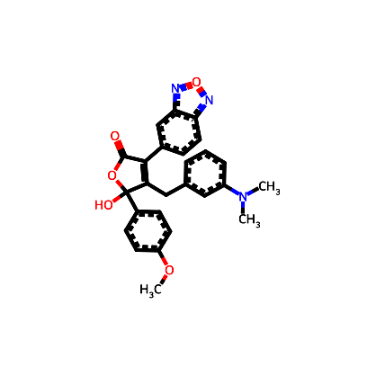 COc1ccc(C2(O)OC(=O)C(c3ccc4nonc4c3)=C2Cc2cccc(N(C)C)c2)cc1